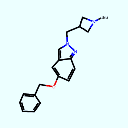 CC(C)(C)N1CC(Cn2cc3cc(OCc4ccccc4)ccc3n2)C1